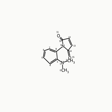 CN(C)c1ccccc1N1C(=O)C=CC1=O